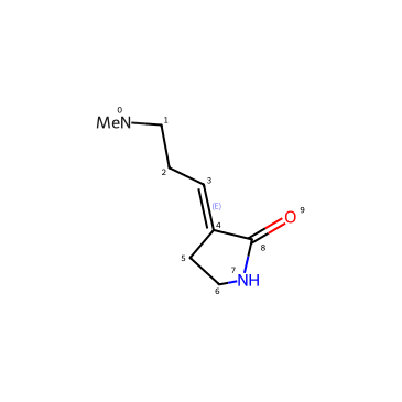 CNCC/C=C1\CCNC1=O